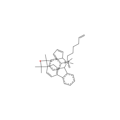 C=CCCC[CH2][Hf](=[CH2])([CH3])([CH3])([c]1ccccc1)([CH]1C=CC=C1)[CH]1C2=C(C=CC(C(C)(C)C)(C(C)(C)C)C2)c2ccccc21